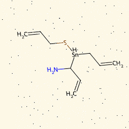 C=CC[S][SnH]([CH2]C=C)[CH](N)C=C